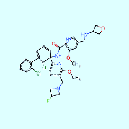 COc1cc(CNC2COC2)cnc1C(=O)NC1(c2ccc(CN3CC(F)C3)c(OC)n2)C=CC=C(c2ccccc2Cl)C1Cl